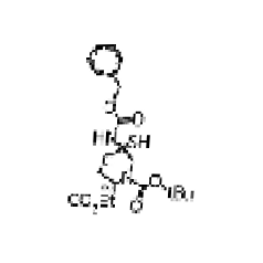 CCOC(=O)[C@H]1CC[C@](S)(NC(=O)OCc2ccccc2)CN1C(=O)OC(C)(C)C